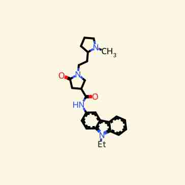 CCn1c2ccccc2c2cc(NC(=O)C3CC(=O)N(CCC4CCCN4C)C3)ccc21